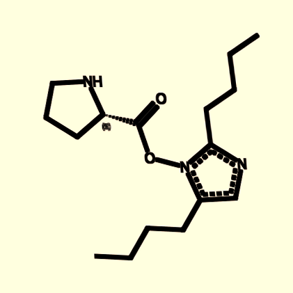 CCCCc1cnc(CCCC)n1OC(=O)[C@@H]1CCCN1